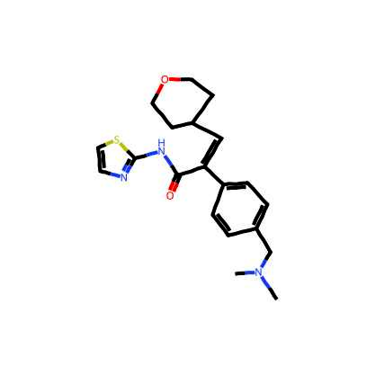 CN(C)Cc1ccc(C(=CC2CCOCC2)C(=O)Nc2nccs2)cc1